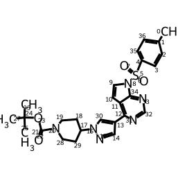 Cc1ccc(S(=O)(=O)n2ccc3c(-c4cnn(C5CCN(C(=O)OC(C)(C)C)CC5)c4)ncnc32)cc1